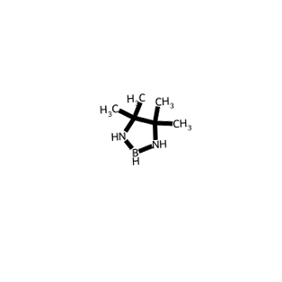 CC1(C)NBNC1(C)C